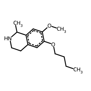 CCCCOc1cc2c(cc1OC)C(C)NCC2